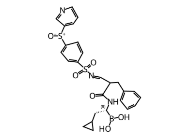 O=C(N[C@@H](CC1CC1)B(O)O)C(C=NS(=O)(=O)c1ccc([S+]([O-])c2cccnc2)cc1)Cc1ccccc1